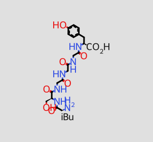 CC[C@H](C)[C@H](N)C(=O)N[C@@H](CO)C(=O)NCC(=O)NCC(=O)NCC(=O)N[C@@H](Cc1ccc(O)cc1)C(=O)O